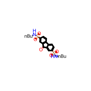 CCCCNS(=O)(=O)c1ccc2c(c1)C(=O)c1cc(S(=O)(=O)NCCCC)ccc1-2